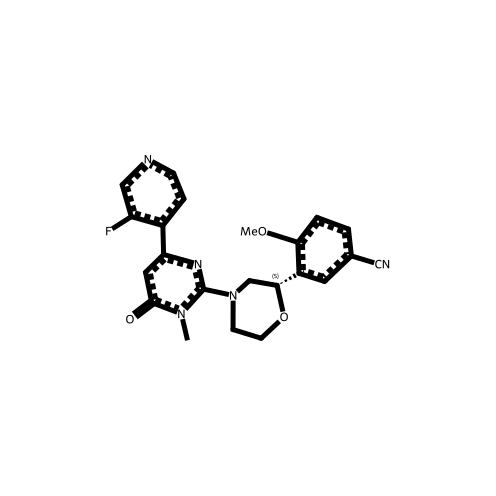 COc1ccc(C#N)cc1[C@H]1CN(c2nc(-c3ccncc3F)cc(=O)n2C)CCO1